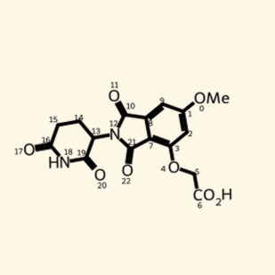 COc1cc(OCC(=O)O)c2c(c1)C(=O)N(C1CCC(=O)NC1=O)C2=O